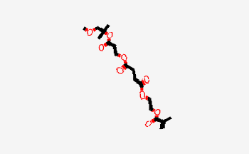 C=C(C)C(=O)OCCOC(=O)CCC(=O)OCCC(=O)OC(C)(C)COC